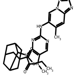 CCOC(=O)C12CC3CC(C1)C(n1c(=O)n(C)c4cnc(Nc5cn6ncnc6cc5C)nc41)C(C3)C2